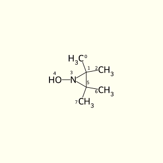 CC1(C)N(O)C1(C)C